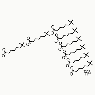 CC(C)(C)CCCCCC(=O)[O-].CC(C)(C)CCCCCC(=O)[O-].CC(C)(C)CCCCCC(=O)[O-].CC(C)(C)CCCCCC(=O)[O-].CC(C)(C)CCCCCC(=O)[O-].CC(C)(C)CCCCCC(=O)[O-].CC(C)(C)CCCCCC(=O)[O-].CC(C)(C)CCCCCC(=O)[O-].[Ti+4].[Ti+4]